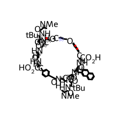 CN[C@@H](C)C(=O)N[C@H](C(=O)N1C[C@@H]2C[C@H]1C(=O)N[C@@H](C)C(=O)N[C@H](C(=O)O)Cc1ccc(cc1)C(=O)N[C@H]1C[C@@H](C(=O)N[C@@H](Cc3ccc4ccccc4c3)C(=O)N[C@H](C(=O)O)Cc3ccc(cc3)OC/C=C/CO2)N(C(=O)[C@@H](NC(=O)[C@H](C)NC)C(C)(C)C)C1)C(C)(C)C